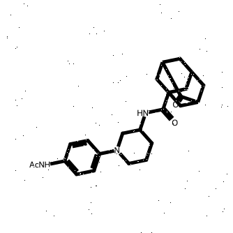 CC(=O)Nc1ccc(N2CCCC(NC(=O)C34CC5CC(C3)C(=O)C(C5)C4)C2)cc1